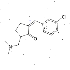 CN(C)CC1CC/C(=C/c2cccc(Cl)c2)C1=O